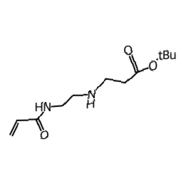 C=CC(=O)NCCNCCC(=O)OC(C)(C)C